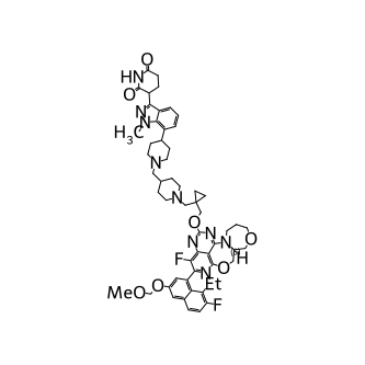 CCc1c(F)ccc2cc(OCOC)cc(-c3nc4c5c(nc(OCC6(CN7CCC(CN8CCC(c9cccc%10c(C%11CCC(=O)NC%11=O)nn(C)c9%10)CC8)CC7)CC6)nc5c3F)N3CCCOC[C@H]3CO4)c12